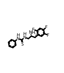 N[C@H](CNC(=S)Nc1ccccc1)Cc1cc(F)c(F)cc1F